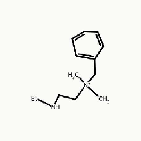 CCNCC[N+](C)(C)Cc1ccccc1